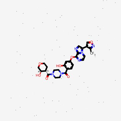 O=C(c1ccc(Oc2nccn3c(-c4conc4C(F)(F)F)cnc23)cc1O)N1CCN(C(=O)[C@H]2CCOC[C@@H]2O)CC1